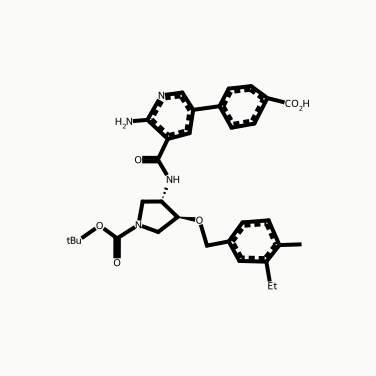 CCc1cc(CO[C@H]2CN(C(=O)OC(C)(C)C)C[C@@H]2NC(=O)c2cc(-c3ccc(C(=O)O)cc3)cnc2N)ccc1C